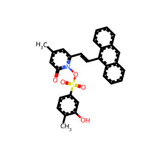 Cc1cc(C=Cc2c3ccccc3cc3ccccc23)n(OS(=O)(=O)c2ccc(C)c(O)c2)c(=O)c1